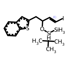 CC(C)(C)[SiH]([SiH3])OC(/C=C/I)Cc1cc2ccccc2s1